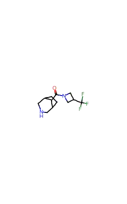 O=C(C1C2CCC1CNC2)N1CC(C(F)(F)F)C1